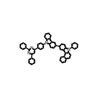 c1ccc(-c2cc(-c3ccc(-n4c5ccccc5c5cc(-c6ccc7c(c6)c6c8ccccc8ccc6n7-c6ccccc6)ccc54)cc3)nc(-c3ccccc3)n2)cc1